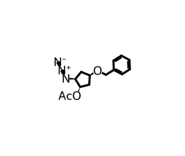 CC(=O)O[C@H]1C[C@H](OCc2ccccc2)C[C@@H]1N=[N+]=[N-]